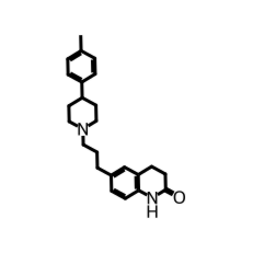 Cc1ccc(C2CCN(CCCc3ccc4c(c3)CCC(=O)N4)CC2)cc1